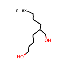 CCCCCCCCCC(CO)CCCCO